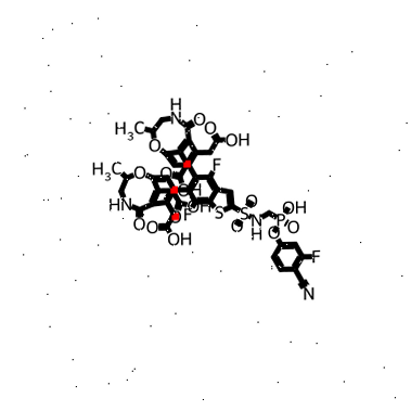 CC1CNC(=O)c2c(CC(=O)O)c(cc(-c3c(-c4cc5c(CC(=O)O)c(c4CC(=O)O)C(=O)NCC(C)O5)c(F)c4sc(S(=O)(=O)NCP(=O)(O)Oc5ccc(C#N)c(F)c5)cc4c3F)c2CC(=O)O)O1